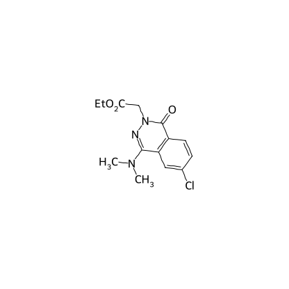 CCOC(=O)Cn1nc(N(C)C)c2cc(Cl)ccc2c1=O